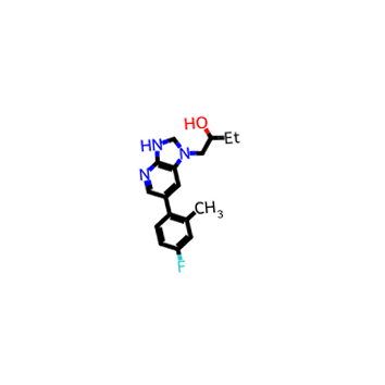 CCC(O)CN1CNc2ncc(-c3ccc(F)cc3C)cc21